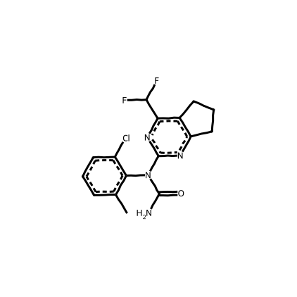 Cc1cccc(Cl)c1N(C(N)=O)c1nc2c(c(C(F)F)n1)CCC2